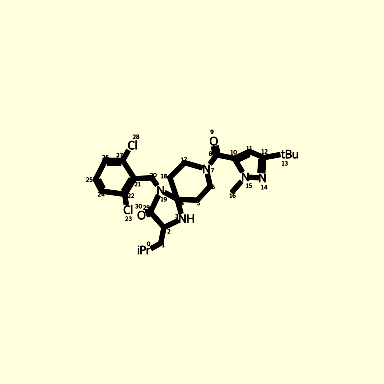 CC(C)CC1NC2(CCN(C(=O)c3cc(C(C)(C)C)nn3C)CC2)N(Cc2c(Cl)cccc2Cl)C1=O